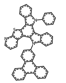 c1ccc(-n2c3ccccc3c3c4sc5ncccc5c4c4c(c5ccccc5n4-c4ccc5c6ccccc6c6ccccc6c5c4)c32)cc1